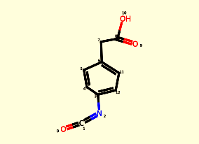 O=C=Nc1ccc(CC(=O)O)cc1